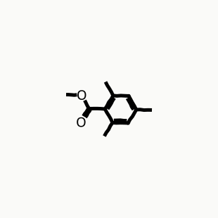 COC(=O)c1c(C)cc(C)cc1C